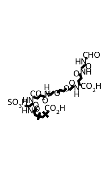 CC(C)(CC(=O)O)CC(C)(C)CC(=O)NC(CS(=O)(=O)O)C(=O)NC(CCC(=O)NCCOCCOCC(=O)NC(CCC(=O)NCC(=O)NCC=O)C(=O)O)C(=O)O